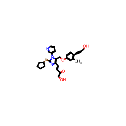 Cc1cc(OCc2c(/C=C/C(=O)CO)nc(SC3CCCC3)n2-c2cccnc2)ccc1C#CCO